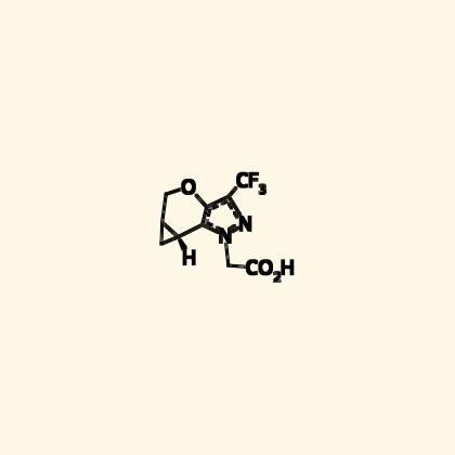 O=C(O)Cn1nc(C(F)(F)F)c2c1[C@@H]1CC1CO2